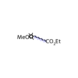 CCOC(=O)/C=C/C=C/C=C/C=C/c1c(C)cc(OC)c(C)c1C